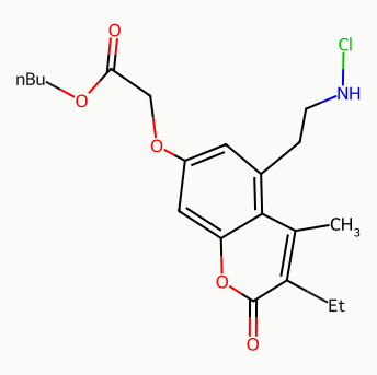 CCCCOC(=O)COc1cc(CCNCl)c2c(C)c(CC)c(=O)oc2c1